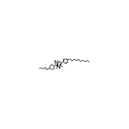 CCCCCCCCCCc1ccc(-c2cnc(C3CCC(CCCCC)CC3)nc2C)cc1